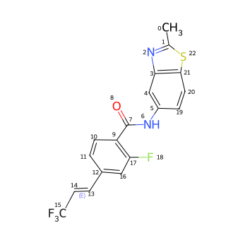 Cc1nc2cc(NC(=O)c3ccc(/C=C/C(F)(F)F)cc3F)ccc2s1